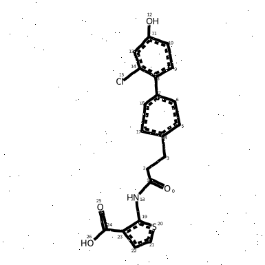 O=C(CCc1ccc(-c2ccc(O)cc2Cl)cc1)Nc1sccc1C(=O)O